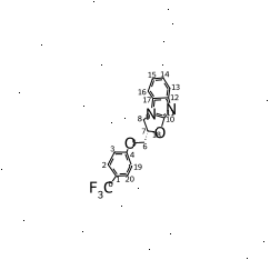 FC(F)(F)c1ccc(OC[C@@H]2Cn3c(nc4ccccc43)O2)cc1